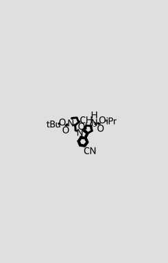 CC(C)OC(=O)N[C@H]1Cc2c(n(CC3N(C(=O)OC(C)(C)C)CCC3(C)O)c3ccc(C#N)cc23)C1